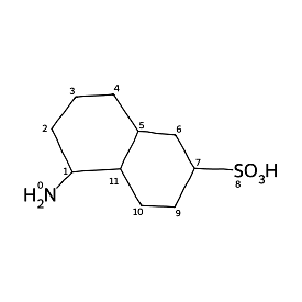 NC1CCCC2CC(S(=O)(=O)O)CCC12